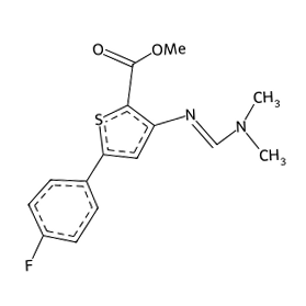 COC(=O)c1sc(-c2ccc(F)cc2)cc1/N=C/N(C)C